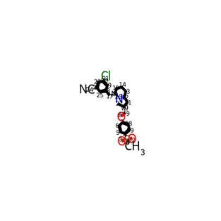 CS(=O)(=O)c1ccc(OC[C@H]2CC3CCC[C@@H](Cc4cc(Cl)cc(C#N)c4)N3C2)cc1